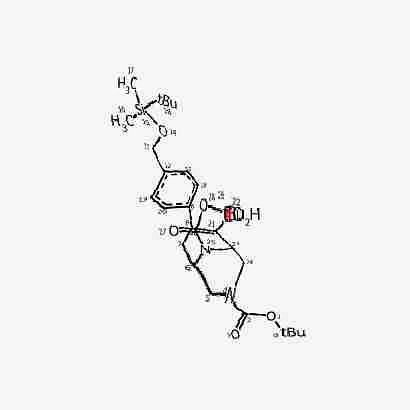 CC(C)(C)OC(=O)N1CC2CC(c3ccc(CO[Si](C)(C)C(C)(C)C)cc3)=C(C(=O)O)C(C1)N2C(=O)OC(C)(C)C